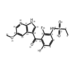 CCS(=O)(=O)Nc1ccc(F)c(C(=O)c2c[nH]c3ncc(OC)cc23)c1F